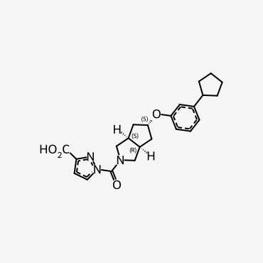 O=C(O)c1ccn(C(=O)N2C[C@H]3C[C@H](Oc4cccc(C5CCCC5)c4)C[C@H]3C2)n1